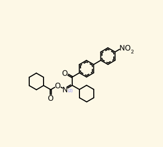 O=C(/C(=N\OC(=O)C1CCCCC1)C1CCCCC1)c1ccc(-c2ccc([N+](=O)[O-])cc2)cc1